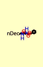 CCCCCCCCCCCCNC(=O)CNC(=O)OCc1ccccc1